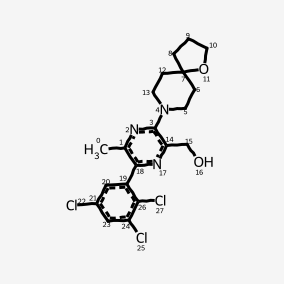 Cc1nc(N2CCC3(CCCO3)CC2)c(CO)nc1-c1cc(Cl)cc(Cl)c1Cl